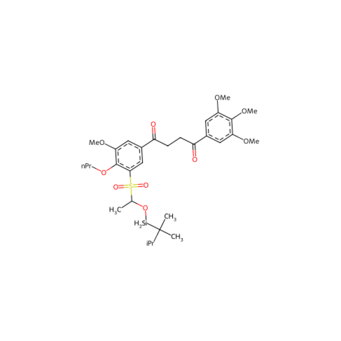 CCCOc1c(OC)cc(C(=O)CCC(=O)c2cc(OC)c(OC)c(OC)c2)cc1S(=O)(=O)C(C)O[SiH2]C(C)(C)C(C)C